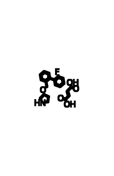 Fc1ccccc1-c1ccccc1CO[C@@H]1CCNC1.O=C(O)C=CC(=O)O